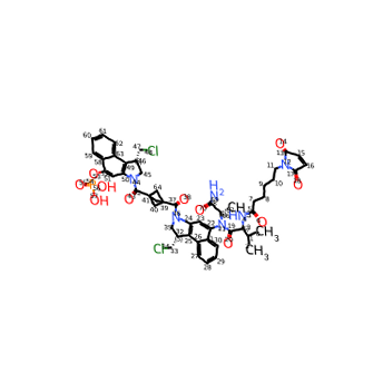 CC(C)[C@H](NC(=O)CCCCCN1C(=O)C=CC1=O)C(=O)N(c1cc2c(c3ccccc13)[C@H](CCl)CN2C(=O)C12CC(C(=O)N3C[C@@H](CCl)c4c3cc(OP(=O)(O)O)c3ccccc43)(C1)C2)[C@@H](C)C(N)=O